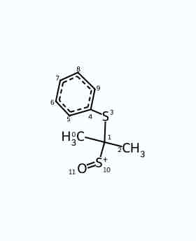 CC(C)(Sc1ccccc1)[S+]=O